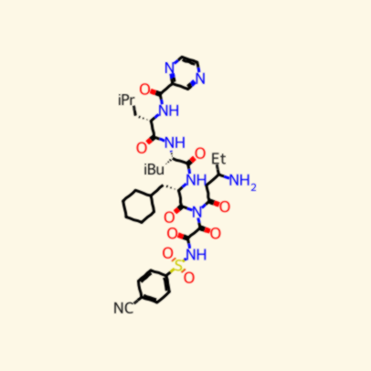 CCC(N)CC(=O)N(C(=O)C(=O)NS(=O)(=O)c1ccc(C#N)cc1)C(=O)[C@H](CC1CCCCC1)NC(=O)[C@@H](NC(=O)[C@H](CC(C)C)NC(=O)c1cnccn1)[C@@H](C)CC